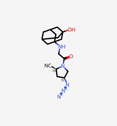 N#C[C@@H]1C[C@H](N=[N+]=[N-])CN1C(=O)CNC12CC3CC(CC(O)(C3)C1)C2